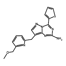 COCc1cccc(Cc2cnn3c(-c4cccs4)nc(N)nc23)n1